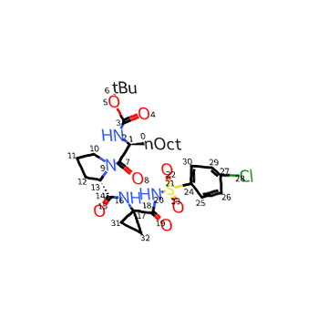 CCCCCCCC[C@H](NC(=O)OC(C)(C)C)C(=O)N1CCC[C@H]1C(=O)NC1(C(=O)NS(=O)(=O)c2ccc(Cl)cc2)CC1